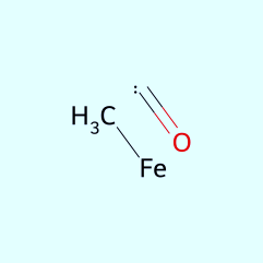 [CH3][Fe].[C]=O